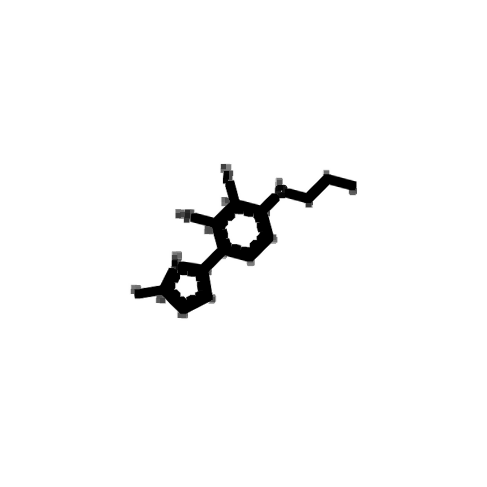 CCCOc1ccc(-c2ccc(C)s2)c(F)c1F